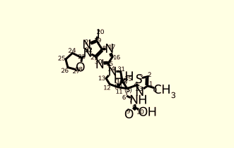 Cc1csc([C@@]2(CNC(=O)O)[C@@H]3CCN(c4cnc5c(I)nn(C6CCCCO6)c5n4)C[C@@H]32)n1